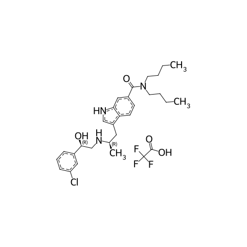 CCCCN(CCCC)C(=O)c1ccc2c(C[C@@H](C)NC[C@H](O)c3cccc(Cl)c3)c[nH]c2c1.O=C(O)C(F)(F)F